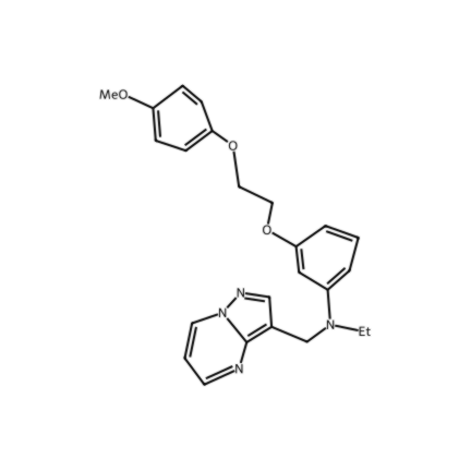 CCN(Cc1cnn2cccnc12)c1cccc(OCCOc2ccc(OC)cc2)c1